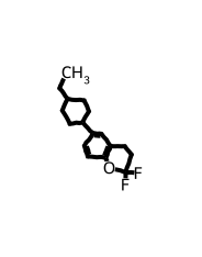 CCC1CCC(c2ccc3c(c2)CCC(F)(F)O3)CC1